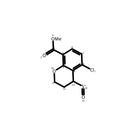 COC(=O)c1ccc(Cl)c2c1OCCC2[S+]=O